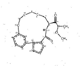 CON(C)C(=O)[C@@H]1CCCCCOc2cccc(c2)-n2nccc2C(=O)N1